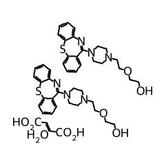 O.O=C(O)C=CC(=O)O.OCCOCCN1CCN(C2=Nc3ccccc3Sc3ccccc32)CC1.OCCOCCN1CCN(C2=Nc3ccccc3Sc3ccccc32)CC1